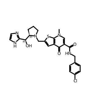 Cn1cc(C(=O)NCc2ccc(Cl)cc2)c(=O)c2cc(CN3CCC[C@@H]3[C@@H](O)c3ncc[nH]3)sc21